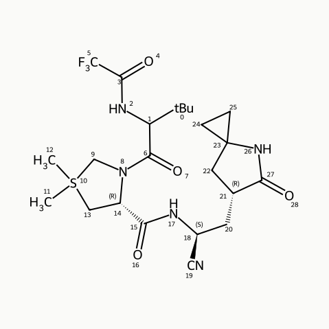 CC(C)(C)C(NC(=O)C(F)(F)F)C(=O)N1CS(C)(C)C[C@H]1C(=O)N[C@H](C#N)C[C@@H]1CC2(CC2)NC1=O